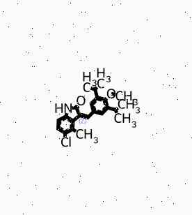 COc1c(C(C)C)cc(/C=C2\C(=O)Nc3ccc(Cl)c(C)c32)cc1C(C)C